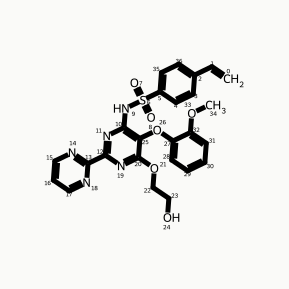 C=Cc1ccc(S(=O)(=O)Nc2nc(-c3ncccn3)nc(OCCO)c2Oc2ccccc2OC)cc1